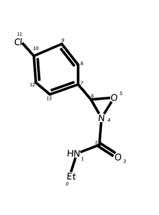 CCNC(=O)N1OC1c1ccc(Cl)cc1